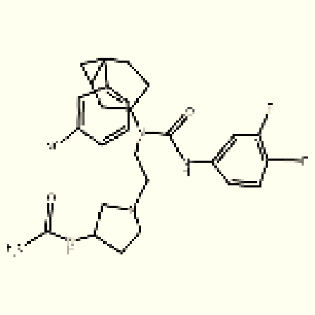 N#Cc1cccc(C23CCC(N(CCN4CCC(NC(=O)C(F)(F)F)C4)C(=O)Nc4ccc(F)c(F)c4)CC2C3)c1